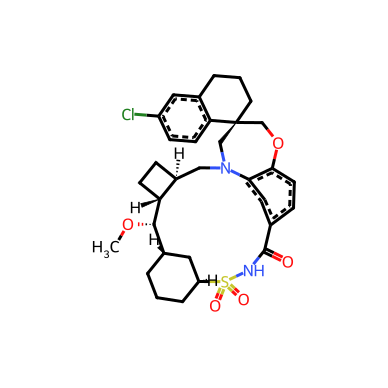 CO[C@H]1[C@H]2CCC[C@@H](C2)S(=O)(=O)NC(=O)c2ccc3c(c2)N(C[C@@H]2CC[C@H]21)C[C@@]1(CCCc2cc(Cl)ccc21)CO3